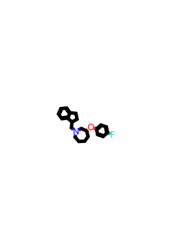 Fc1ccc(OC2CCCCN(CC3CCc4ccccc43)C2)cc1